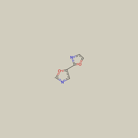 [c]1ncc(-c2ncco2)o1